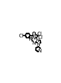 N#CN=C1N(c2cccnc2)CCN1C(NC(=O)c1ccc(Cl)cc1)C(Cl)(Cl)Cl